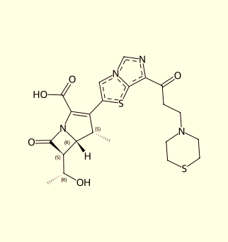 C[C@@H](O)[C@H]1C(=O)N2C(C(=O)O)=C(c3cn4cnc(C(=O)CCN5CCSCC5)c4s3)[C@H](C)[C@H]12